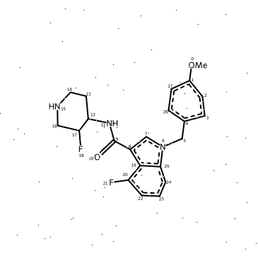 COc1ccc(Cn2cc(C(=O)NC3CCNCC3F)c3c(F)cccc32)cc1